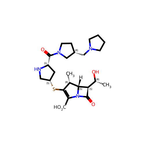 C[C@@H](O)[C@H]1C(=O)N2C(C(=O)O)=C(S[C@@H]3CN[C@H](C(=O)N4CC[C@H](CN5CCCC5)C4)C3)[C@H](C)[C@H]12